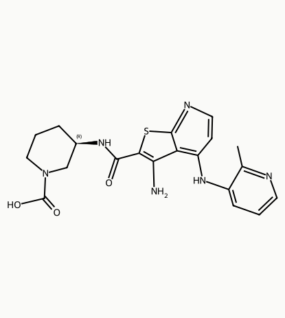 Cc1ncccc1Nc1ccnc2sc(C(=O)N[C@@H]3CCCN(C(=O)O)C3)c(N)c12